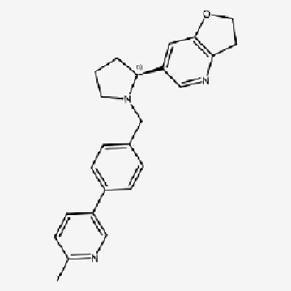 Cc1ccc(-c2ccc(CN3CCC[C@H]3c3cnc4c(c3)OCC4)cc2)cn1